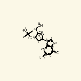 CC(C)(O)O[C@H]1C[C@H](n2cnc3c(Cl)cc(Br)nc32)O[C@@H]1CO